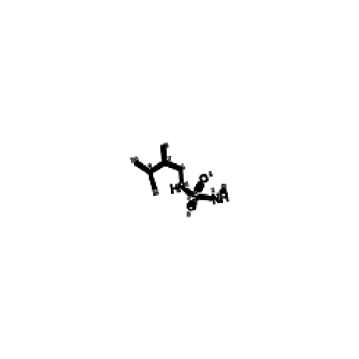 CNS(=O)(=O)NCC(C)C(C)C